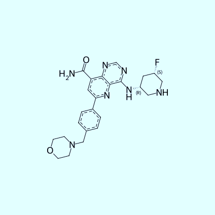 NC(=O)c1cc(-c2ccc(CN3CCOCC3)cc2)nc2c(N[C@H]3CNC[C@@H](F)C3)ncnc12